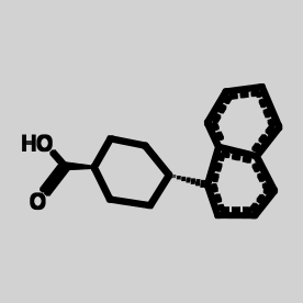 O=C(O)[C@H]1CC[C@H](c2cccc3ccccc32)CC1